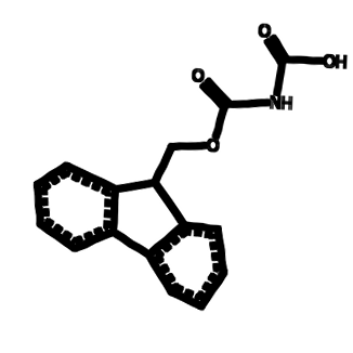 O=C(O)NC(=O)OCC1c2ccccc2-c2ccccc21